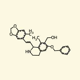 Cc1cc2c(cc1/C=C/C1NCCc3cc(OCc4ccccc4)c(CO)c(C)c31)OCO2